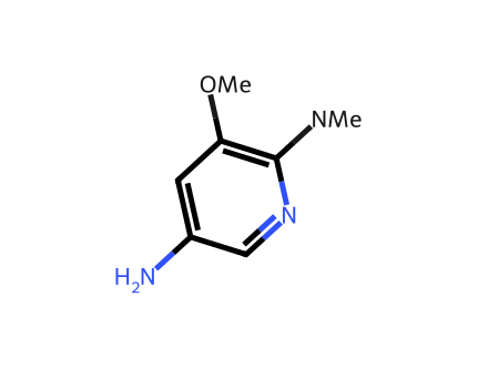 CNc1ncc(N)cc1OC